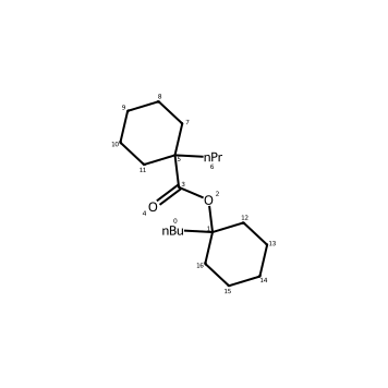 CCCCC1(OC(=O)C2(CCC)CCCCC2)CCCCC1